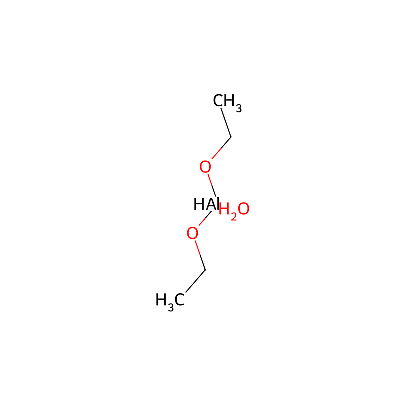 CC[O][AlH][O]CC.O